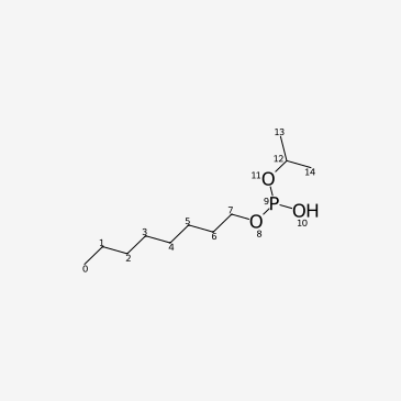 CCCCCCCCOP(O)OC(C)C